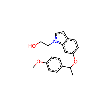 COc1ccc(C(C)Oc2ccc3ccn(CCO)c3c2)cc1